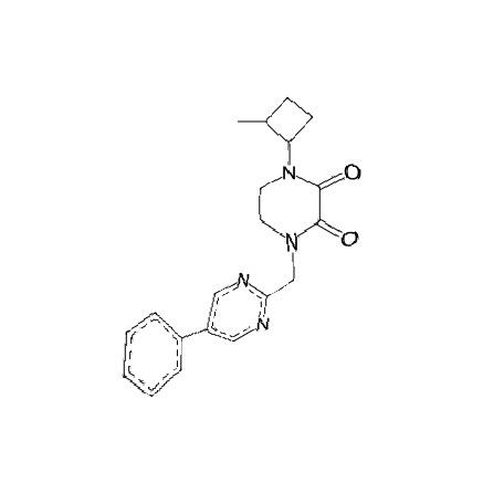 CC1CCC1N1CCN(Cc2ncc(-c3ccccc3)cn2)C(=O)C1=O